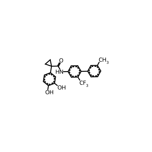 Cc1cccc(-c2ccc(NC(=O)C3(c4ccc(O)c(O)c4)CC3)cc2C(F)(F)F)c1